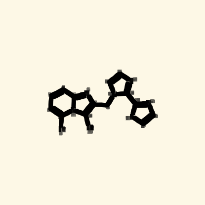 CCc1cccc2nc(Cn3ccnc3-c3nccs3)c(CC)n12